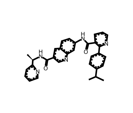 CC(C)c1ccc(-c2ncccc2C(=O)Nc2ccc3cc(C(=O)N[C@H](C)c4ccccn4)cnc3c2)cc1